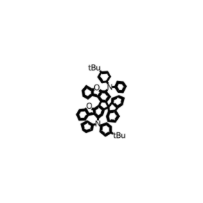 CC(C)(C)C1=CCC(N(c2ccccc2)c2cc3c(c4c2oc2ccccc24)-c2c(cc(N(c4ccccc4)c4ccc(C(C)(C)C)cc4)c4c2oc2ccccc24)C32c3ccccc3-c3ccccc32)C=C1